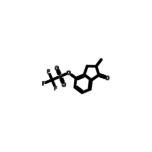 CC1Cc2c(OS(=O)(=O)C(F)(F)F)cccc2C1=O